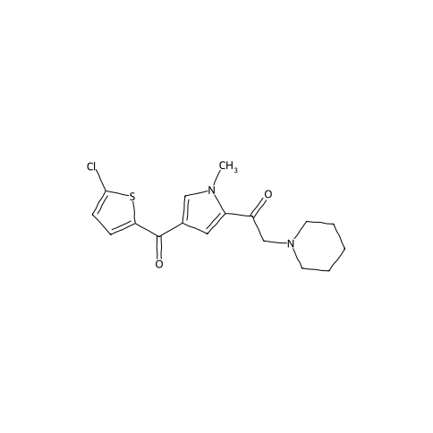 Cn1cc(C(=O)c2ccc(Cl)s2)cc1C(=O)CN1CCCCC1